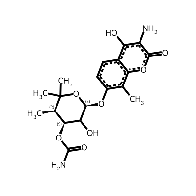 Cc1c(O[C@@H]2OC(C)(C)[C@H](C)[C@H](OC(N)=O)C2O)ccc2c(O)c(N)c(=O)oc12